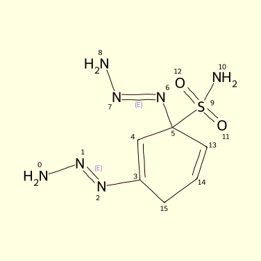 N/N=N/C1=CC(/N=N/N)(S(N)(=O)=O)C=CC1